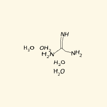 N=C(N)N.O.O.O.O